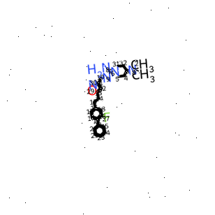 CN(C)C1CCN(C(N)=NCc2cc(CCc3ccc(-c4ccccc4)c(F)c3)on2)CC1